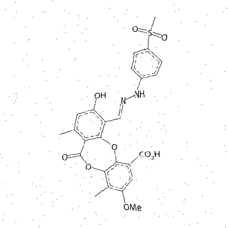 COc1cc(C(=O)O)c2c(c1C)OC(=O)c1c(C)cc(O)c(/C=N/Nc3ccc(S(C)(=O)=O)cc3)c1O2